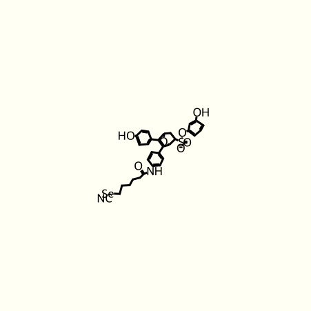 N#C[Se]CCCCCC(=O)Nc1ccc(C2=C(c3ccc(O)cc3)C3CC(S(=O)(=O)Oc4cccc(O)c4)C2O3)cc1